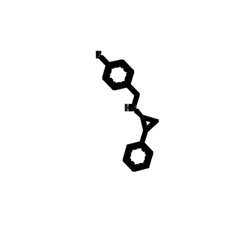 Fc1ccc(CN[C@H]2CC2c2ccccc2)cc1